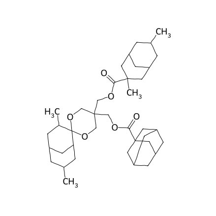 CC1CC2CC(C1)CC(C)(C(=O)OCC1(COC(=O)C34CC5CC(CC(C5)C3)C4)COC3(OC1)C(C)CC1CC(C)CC3C1)C2